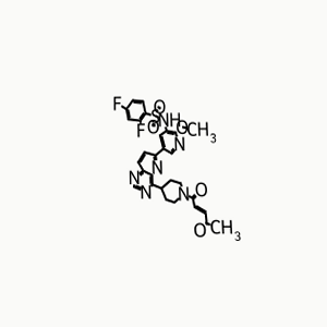 COc1ncc(-c2ccc3ncnc(C4CCN(C(=O)/C=C/C(C)=O)CC4)c3n2)cc1NS(=O)(=O)c1ccc(F)cc1F